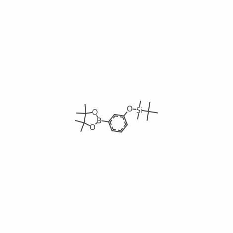 CC1(C)OB(c2cccc(O[Si](C)(C)C(C)(C)C)c2)OC1(C)C